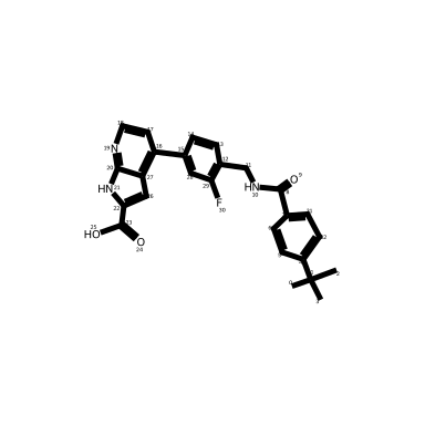 CC(C)(C)c1ccc(C(=O)NCc2ccc(-c3ccnc4[nH]c(C(=O)O)cc34)cc2F)cc1